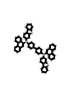 c1ccc2c(c1)cc(N(c1ccc(-c3ccc(N(c4ccc5c(c4)sc4ccccc45)c4cc5ccccc5c5ccccc45)cc3)cc1)c1ccc3c(c1)sc1ccccc13)c1ccccc12